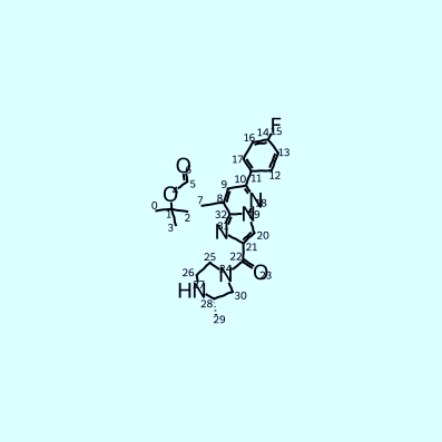 CC(C)(C)OC=O.Cc1cc(-c2ccc(F)cc2)nn2cc(C(=O)N3CCN[C@@H](C)C3)nc12